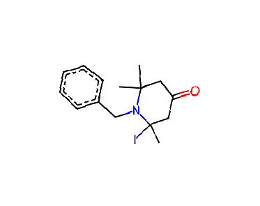 CC1(C)CC(=O)CC(C)(I)N1Cc1ccccc1